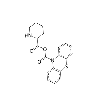 O=C(OC(=O)N1c2ccccc2Sc2ccccc21)C1CCCCN1